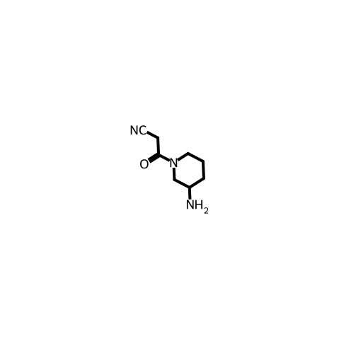 N#CCC(=O)N1CCCC(N)C1